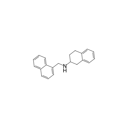 c1ccc2c(c1)CCC(NCc1cccc3ccccc13)C2